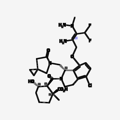 CN(N)/C(=C(\N)COc1ccc(Cl)c2c1[C@@H](CN1CC3(CC3)CC1=O)N(C(=O)[C@@H]1[C@@H](O)CCC[C@]1(C)C(=O)O)CC2)C(F)F